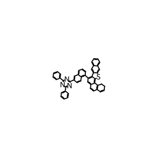 C1=Cc2ccc3cc(-c4cccc5cc(-c6nc(-c7ccccc7)nc(-c7ccccc7)n6)ccc45)c4c5cc6ccccc6cc5sc4c3c2CC1